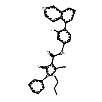 CCCn1c(C)c(C(=O)Nc2ccc(-c3cccc4cnccc34)c(F)c2)c(=O)n1-c1ccccc1